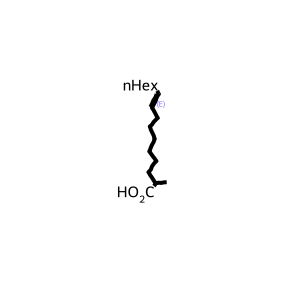 CCCCCC/C=C/CCCCCCC(C)C(=O)O